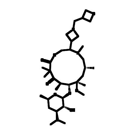 CO[C@]1(C)C[C@@H](C)CN(C)C(C2CN(CC3COC3)C2)COC(=O)C(C)(C)C(=O)[C@H](C)[C@H]1O[C@@H]1O[C@H](C)C[C@H](N(C)C)[C@H]1O